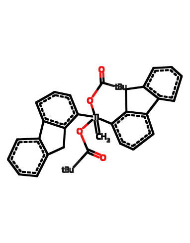 [CH2]=[Ti]([O]C(=O)C(C)(C)C)([O]C(=O)C(C)(C)C)([c]1cccc2c1Cc1ccccc1-2)[c]1cccc2c1Cc1ccccc1-2